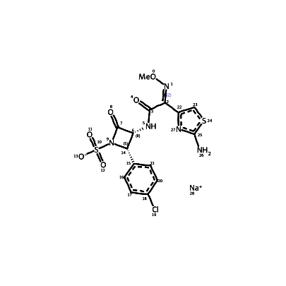 CO/N=C(\C(=O)N[C@H]1C(=O)N(S(=O)(=O)[O-])[C@H]1c1ccc(Cl)cc1)c1csc(N)n1.[Na+]